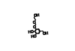 OCCOCOc1cc(CO)cc(O)c1O